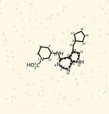 O=C(O)N1CCC[C@@H](Nc2ncnc3[nH]cc(CC4CCCC4)c23)C1